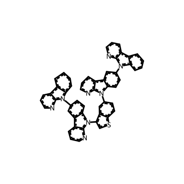 c1ccc2c(c1)c1cccnc1n2-c1ccc2c(c1)c1cccnc1n2-c1ccc2scc(-n3c4ccc(-n5c6ccccc6c6cccnc65)cc4c4cccnc43)c2c1